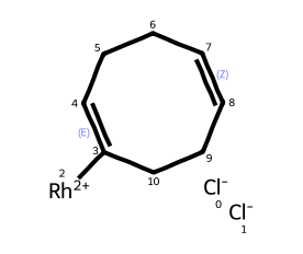 [Cl-].[Cl-].[Rh+2]/[C]1=C/CC/C=C\CC1